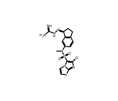 CN(c1ccc2c(c1)/C(=N\NC(=N)N)CC2)S(=O)(=O)c1c(Cl)nc2sccn12